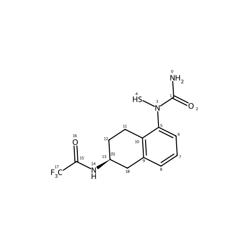 NC(=O)N(S)c1cccc2c1CC[C@H](NC(=O)C(F)(F)F)C2